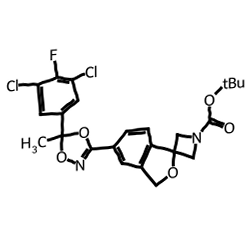 CC(C)(C)OC(=O)N1CC2(C1)OCc1cc(C3=NOC(C)(c4cc(Cl)c(F)c(Cl)c4)O3)ccc12